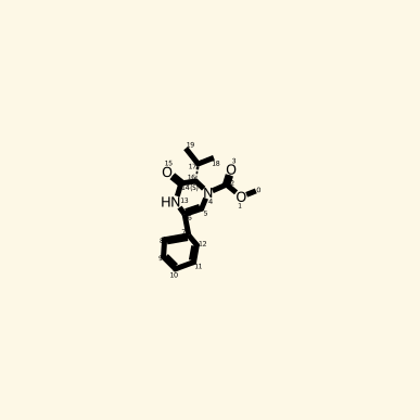 COC(=O)N1C=C(c2ccccc2)NC(=O)[C@@H]1C(C)C